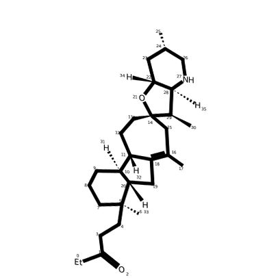 CCC(=O)CC[C@@]1(C)CCC[C@H]2[C@@H]3CC[C@@]4(CC(C)=C3C[C@@H]21)O[C@@H]1C[C@H](C)CN[C@H]1[C@H]4C